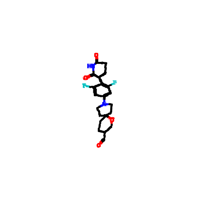 O=CC1CCC2(CCN(c3cc(F)c(C4CCC(=O)NC4=O)c(F)c3)CC2)OC1